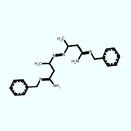 CC(CC(N)=NCc1ccccc1)N=NC(C)CC(N)=NCc1ccccc1